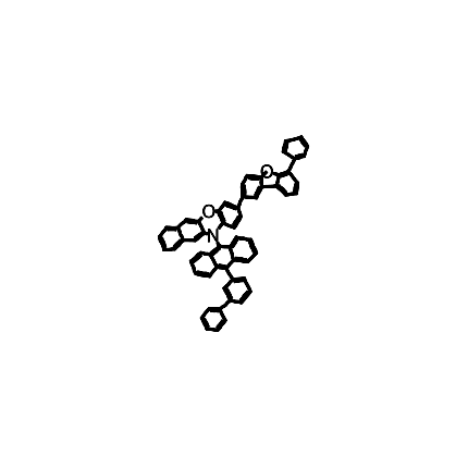 c1ccc(-c2cccc(-c3c4ccccc4c(N4c5ccc(-c6ccc7oc8c(-c9ccccc9)cccc8c7c6)cc5Oc5cc6ccccc6cc54)c4ccccc34)c2)cc1